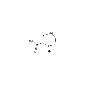 CC(=O)C1CNCCO1.[Rh]